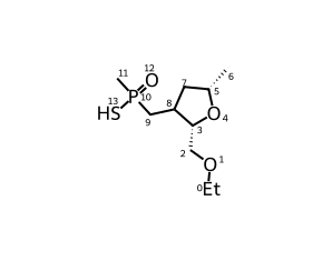 CCOC[C@H]1O[C@@H](C)CC1CP(C)(=O)S